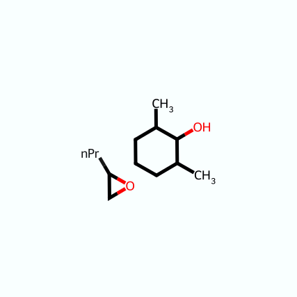 CC1CCCC(C)C1O.CCCC1CO1